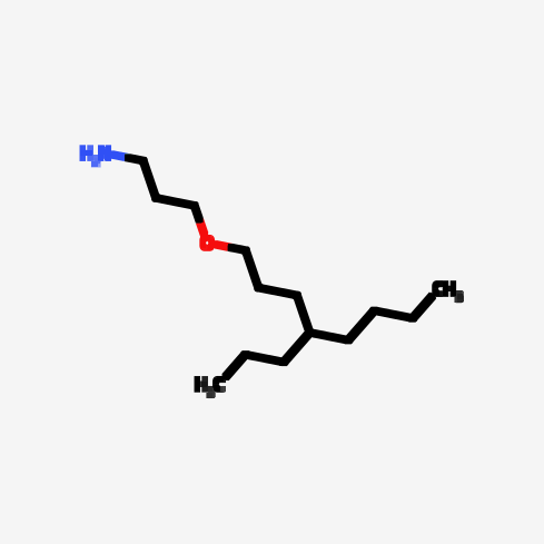 CCCCC(CCC)CCCOCCCN